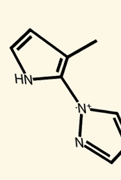 Cc1cc[nH]c1[N+]1C=CC=N1